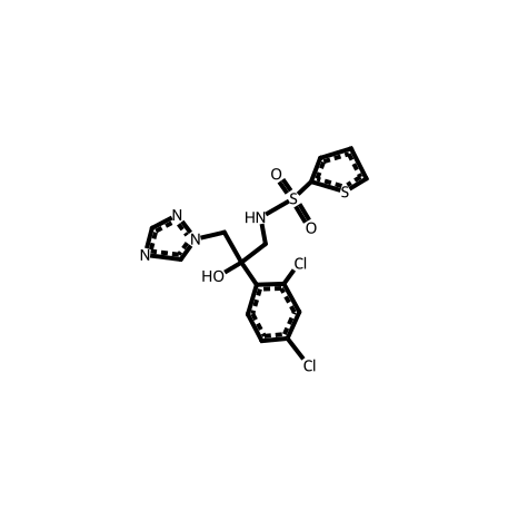 O=S(=O)(NCC(O)(Cn1cncn1)c1ccc(Cl)cc1Cl)c1cccs1